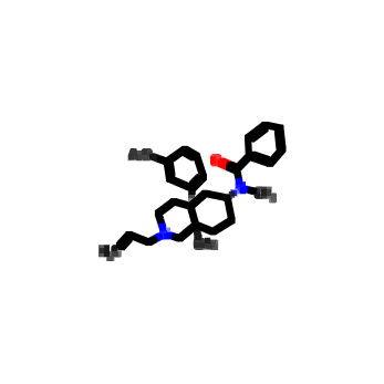 C=CCN1CC[C@@]2(c3cccc(OC(C)=O)c3)C[C@H](N(C)C(=O)c3ccccc3)CC[C@]2(OC(C)=O)C1